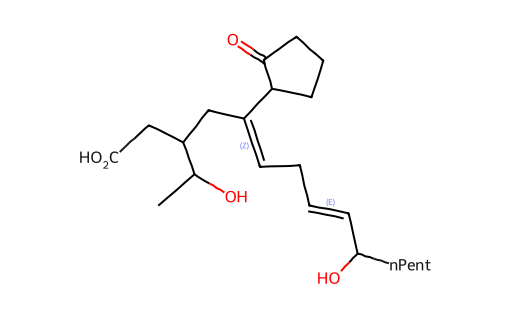 CCCCCC(O)/C=C/C/C=C(/CC(CC(=O)O)C(C)O)C1CCCC1=O